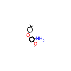 COc1ccc(OC2CCC(C)(C)CC2)cc1N